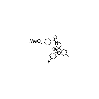 COC[C@H]1CC[C@H](C(=O)N2CC[C@](c3ccc(I)cc3)(S(=O)(=O)c3ccc(F)cc3)C2)CC1